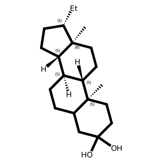 CC[C@H]1CC[C@H]2[C@@H]3CCC4CC(O)(O)CC[C@]4(C)[C@H]3CC[C@]12C